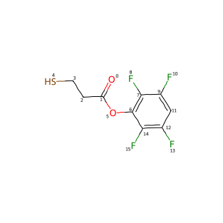 O=C(CCS)Oc1c(F)c(F)cc(F)c1F